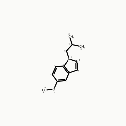 COc1ccc2c(cnn2CC(C)C)c1